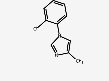 FC(F)(F)c1cn(-c2ccccc2Cl)[c]n1